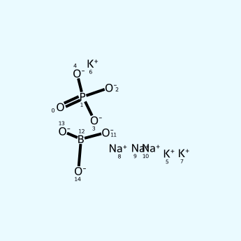 O=P([O-])([O-])[O-].[K+].[K+].[K+].[Na+].[Na+].[Na+].[O-]B([O-])[O-]